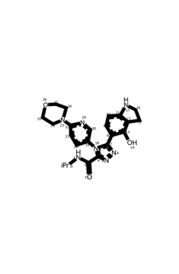 CC(C)NC(=O)c1nnc(-c2ccc3c(c2O)CCN3)n1-c1ccc(N2CCOCC2)nc1